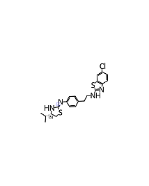 CC(C)[C@H]1CS/C(=N\c2ccc(CCNc3nc4ccc(Cl)cc4s3)cc2)N1